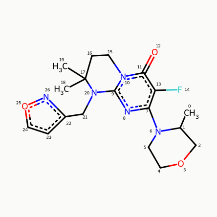 CC1COCCN1c1nc2n(c(=O)c1F)CCC(C)(C)N2Cc1ccon1